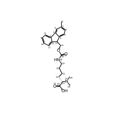 Cc1ccc2c(c1)-c1ccccc1C2COC(=O)NCCCC[C@@H](C(=O)O)N(C)C